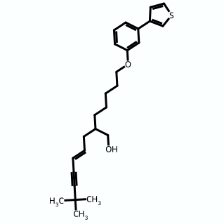 CC(C)(C)C#C/C=C/CC(CO)CCCCCOc1cccc(-c2ccsc2)c1